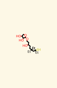 CCC(S)(CC)CC(CC)(CC)CCC(O)CCOC1OCC(O)C1O